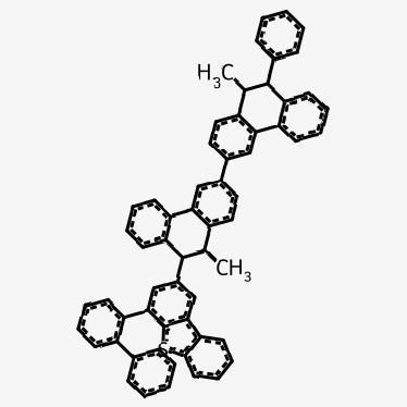 CC1c2ccc(-c3ccc4c(c3)-c3ccccc3C(c3cc(-c5ccccc5-c5ccccc5)c5sc6ccccc6c5c3)C4C)cc2-c2ccccc2C1c1ccccc1